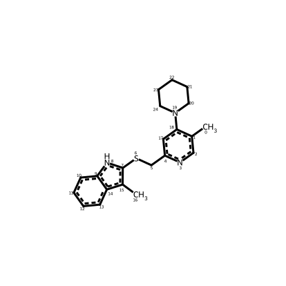 Cc1cnc(CSc2[nH]c3ccccc3c2C)cc1N1CCCCC1